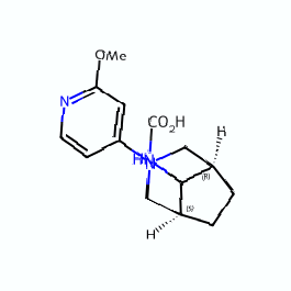 COc1cc(N2C[C@H]3CC[C@@H](C2)C3NC(=O)O)ccn1